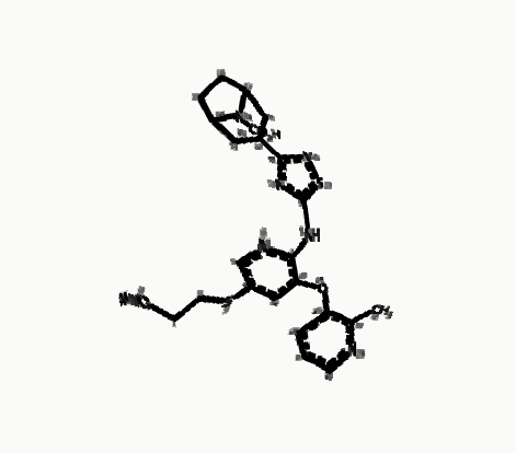 COCCSc1cnc(Nc2nc(C3CC4CCC(C3)N4C(=O)O)ns2)c(Oc2cccnc2C)c1